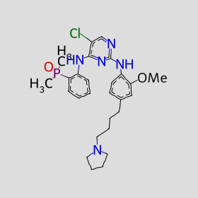 COc1cc(CCCCN2CCCC2)ccc1Nc1ncc(Cl)c(Nc2ccccc2P(C)(C)=O)n1